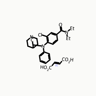 CCN(CC)C(=O)c1ccc(N(c2ccccc2)C2CN3CCC2CC3)c(Cl)c1.O=C(O)/C=C/C(=O)O